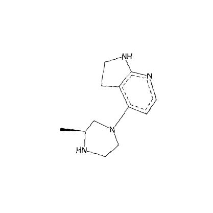 C[C@H]1CN(c2ccnc3c2CCN3)CCN1